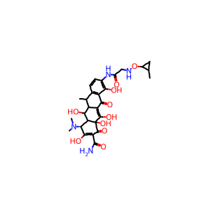 CC1CC1ONCC(=O)Nc1ccc2c(c1O)C(=O)C1=C(O)C3(O)C(=O)C(C(N)=O)=C(O)[C@@H](N(C)C)C3C(O)C1C2C